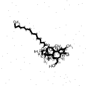 CCCCCCCCCCCCCC(=O)O[C@@H]1[C@@H](C)[C@@]2(O)[C@@H](C=C(CO)C[C@]3(O)C(=O)C(C)=C[C@@H]23)[C@H]2C(C)(C)[C@]12OC(C)=O